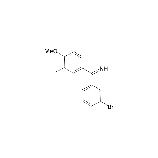 COc1ccc(C(=N)c2cccc(Br)c2)cc1C